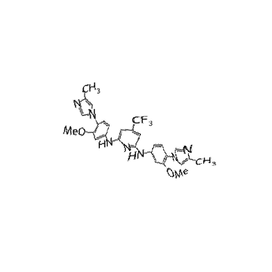 COc1cc(Nc2cc(C(F)(F)F)cc(Nc3ccc(-n4cnc(C)c4)c(OC)c3)n2)ccc1-n1cnc(C)c1